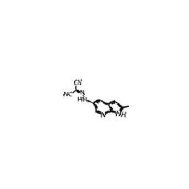 Cc1cc2cc(NN=C(C#N)C#N)cnc2[nH]1